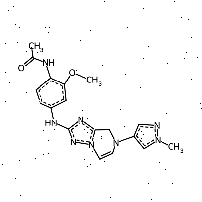 COc1cc(Nc2nc3n(n2)C=CN(c2cnn(C)c2)C3)ccc1NC(C)=O